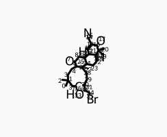 CC1(C)CCC2C(=O)C[C@@H]3[C@@]4(C)C=C(C#N)C(=O)C(C)(C)[C@@H]4CC[C@@]3(C)[C@]2(C)CC[C@@](C)(C(O)CBr)CC1